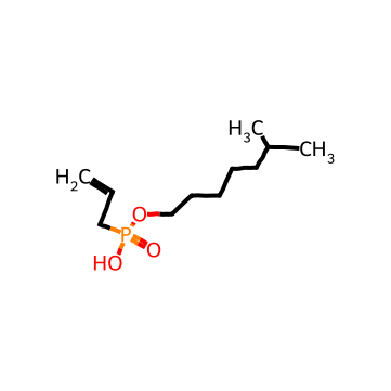 C=CCP(=O)(O)OCCCCCC(C)C